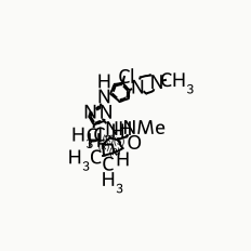 CNC(=O)[C@H]1C[C@H]2C[C@H](C2(C)C)[C@@]1(C)Nc1nc(Nc2ccc(N3CCN(C)CC3)c(Cl)c2)ncc1Cl